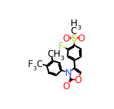 Cc1cc(-n2c(-c3ccc(S(C)(=O)=O)c(F)c3)coc2=O)ccc1C(F)(F)F